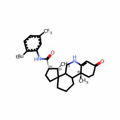 C[C@H]1[C@@H](C(=O)Nc2cc(C(F)(F)F)ccc2C(C)(C)C)CCC12CCCC1C2CNC2=CC(=O)CC[C@@]21C